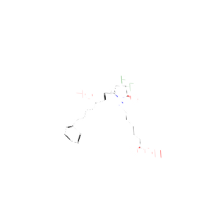 O=C(O)CCCCCCN1C(=O)C(F)(F)C[C@@H]1C=CC(O)CCCCc1ccccc1